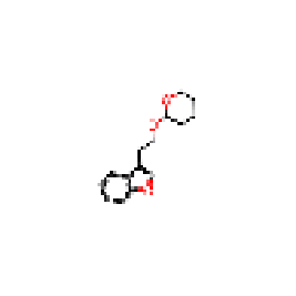 c1ccc2c(CCOC3CCCCO3)coc2c1